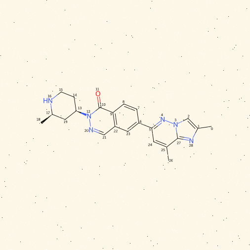 Cc1cn2nc(-c3ccc4c(=O)n([C@@H]5CCN[C@H](C)C5)ncc4c3)cc(C)c2n1